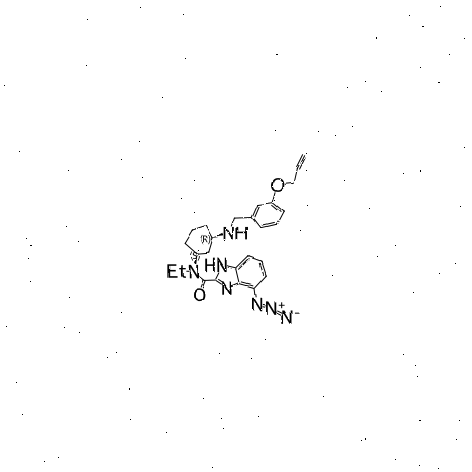 C#CCOc1cccc(CN[C@@H]2CCC[C@H](N(CC)C(=O)c3nc4c(N=[N+]=[N-])cccc4[nH]3)C2)c1